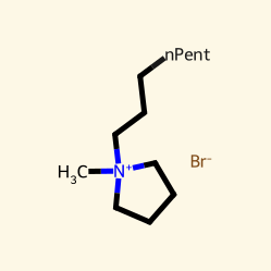 CCCCCCCC[N+]1(C)CCCC1.[Br-]